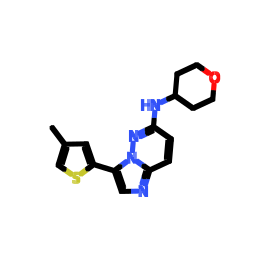 Cc1csc(-c2cnc3ccc(NC4CCOCC4)nn23)c1